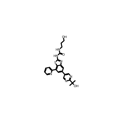 CC(C)(O)c1ncc(-c2cc(-c3ccccn3)c3sc(NC(=O)NCCCO)nc3c2)cn1